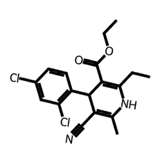 CCOC(=O)C1=C(CC)NC(C)=C(C#N)C1c1ccc(Cl)cc1Cl